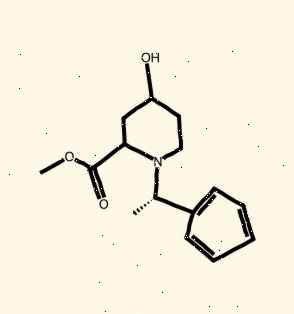 COC(=O)C1CC(O)CCN1[C@@H](C)c1ccccc1